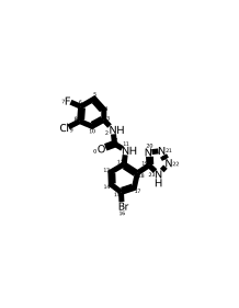 O=C(Nc1ccc(F)c(Cl)c1)Nc1ccc(Br)cc1-c1nnn[nH]1